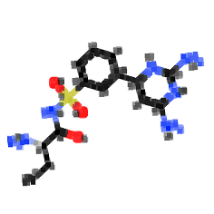 CC(C)C[C@H](N)C(=O)NS(=O)(=O)c1cccc(-c2cc(N)nc(N)n2)c1